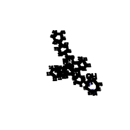 O/C1=C(\c2ccc3c4cc(-c5ccccc5)ccc4n(-c4ccccc4-c4nc(-c5ccccc5)nc(-c5ccc(-c6ccccc6)cc5)n4)c3c2)C/C=C\C=C=C1